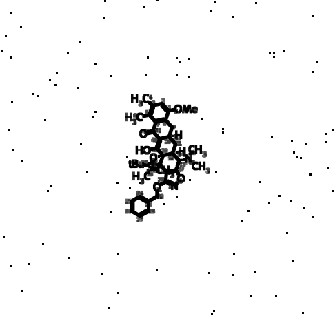 COc1cc(C)c(C)c2c1C[C@H]1C[C@H]3[C@H](N(C)C)c4onc(OCc5ccccc5)c4C(=O)[C@@]3(O[Si](C)(C)C(C)(C)C)C(O)=C1C2=O